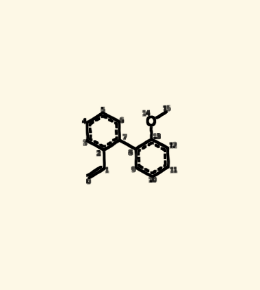 C=Cc1ccccc1-c1ccccc1OC